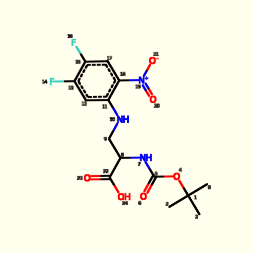 CC(C)(C)OC(=O)NC(CNc1cc(F)c(F)cc1[N+](=O)[O-])C(=O)O